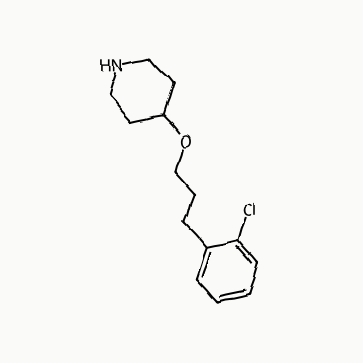 Clc1ccccc1CCCOC1CCNCC1